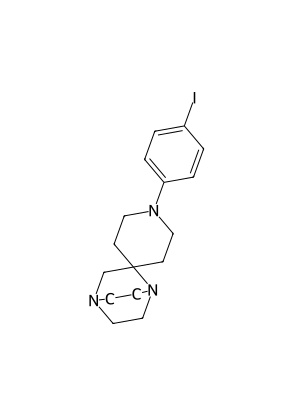 Ic1ccc(N2CCC3(CC2)CN2CCN3CC2)cc1